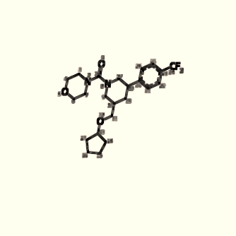 O=C(N1CCOCC1)N1CC(COC2CCCC2)CC(c2ccc(C(F)(F)F)cc2)C1